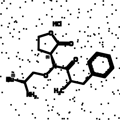 CC[C@H](C)C(N)CON(C(=O)C(C)Cc1ccccc1)[C@H]1CCOC1=O.Cl